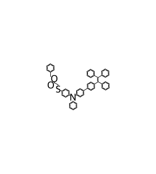 O=C(CSc1ccc(N(c2ccccc2)c2ccc(-c3ccc(C(=C(c4ccccc4)c4ccccc4)c4ccccc4)cc3)cc2)cc1)OCc1ccccc1